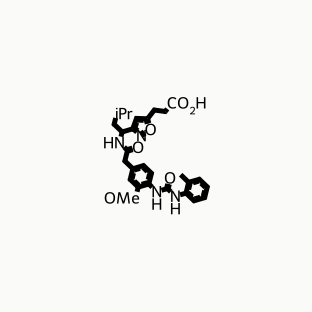 COc1cc(CC(=O)NC(CC(C)C)c2cc(CCC(=O)O)on2)ccc1NC(=O)Nc1ccccc1C